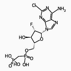 Nc1nc(Cl)nc2c1ncn2[C@@H]1O[C@H](COP(=O)(O)CP(=O)(O)O)[C@@H](O)[C@@H]1F